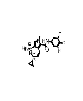 Cn1cc2c(c1C(=O)Nc1cc(F)c(F)c(F)c1)C=C[C@H](C1CC1)NS2(=N)=O